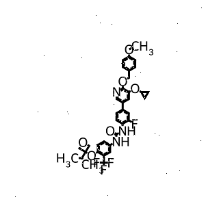 COc1ccc(COc2ncc(-c3ccc(NC(=O)Nc4ccc(OC5(C(C)C)COC5)c(C(F)(F)F)c4)c(F)c3)cc2OC2CC2)cc1